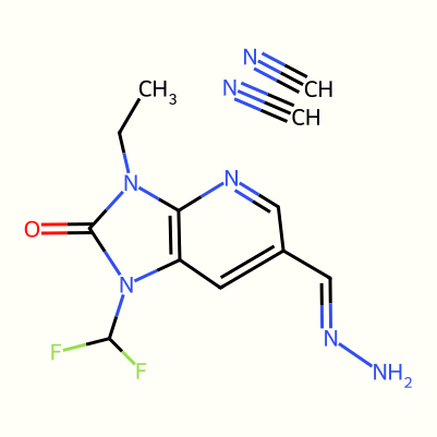 C#N.C#N.CCn1c(=O)n(C(F)F)c2cc(C=NN)cnc21